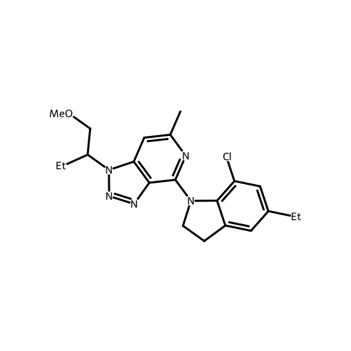 CCc1cc(Cl)c2c(c1)CCN2c1nc(C)cc2c1nnn2C(CC)COC